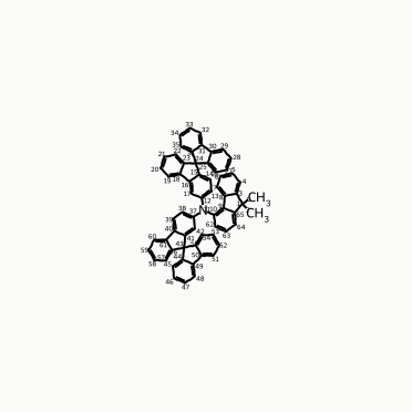 CC1(C)c2ccccc2-c2c(N(c3ccc4c(c3)-c3ccccc3C43c4ccccc4-c4ccccc43)c3ccc4c(c3)C3(c5ccccc5-c5ccccc53)c3ccccc3-4)cccc21